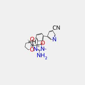 CN1C(=O)[C@]2(N=C1N)c1cc(-c3cncc(C#N)c3)ccc1O[C@]1(C)CCCO[C@H]12